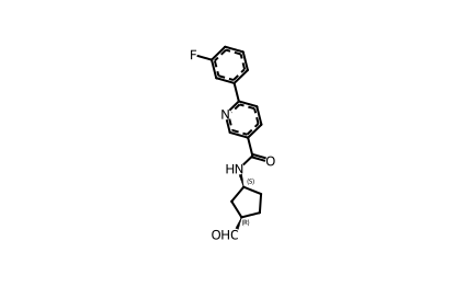 O=C[C@@H]1CC[C@H](NC(=O)c2ccc(-c3cccc(F)c3)nc2)C1